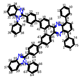 c1ccc(-c2ccc(-c3ccccc3)c3nc(-c4ccc(-c5ccc(-c6nc7ccccc7n6-c6ccccc6)cc5)cc4)c(-c4ccc(-c5ccc(-c6nc7ccccc7n6-c6ccccc6)cc5)cc4)nc23)cc1